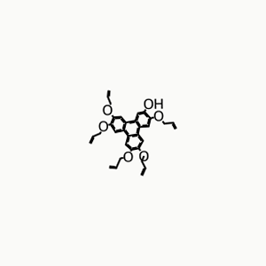 C=CCOc1cc2c(cc1O)c1cc(OCC=C)c(OCC=C)cc1c1cc(OCC=C)c(OCC=C)cc21